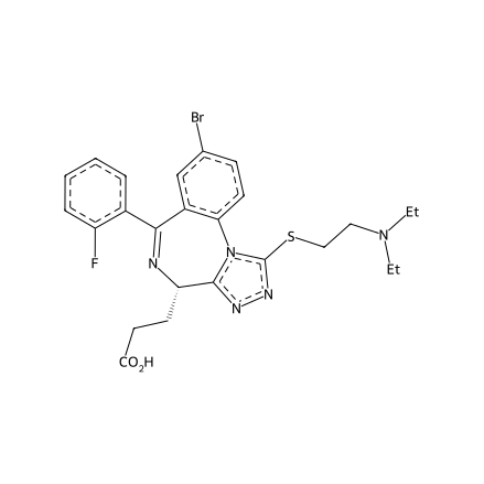 CCN(CC)CCSc1nnc2n1-c1ccc(Br)cc1C(c1ccccc1F)=N[C@H]2CCC(=O)O